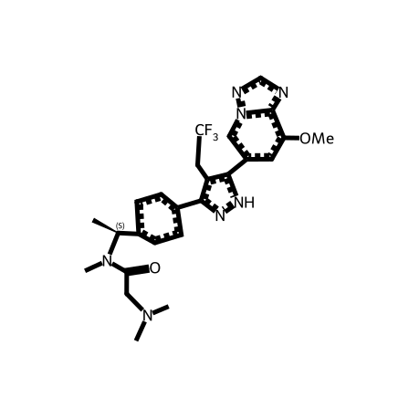 COc1cc(-c2[nH]nc(-c3ccc([C@H](C)N(C)C(=O)CN(C)C)cc3)c2CC(F)(F)F)cn2ncnc12